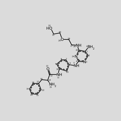 Bc1cnc(Nc2cccc(NC(=O)C(N)Cc3ccccc3)c2)nc1NCCOCCO